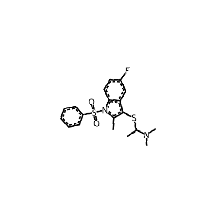 Cc1c(SC(C)N(C)C)c2cc(F)ccc2n1S(=O)(=O)c1ccccc1